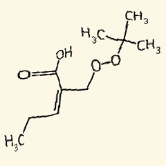 CCC=C(COOC(C)(C)C)C(=O)O